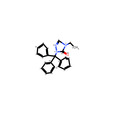 CCn1cnn(C(c2ccccc2)(c2ccccc2)c2ccccc2)c1=O